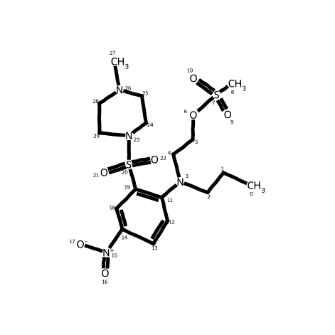 CCCN(CCOS(C)(=O)=O)c1ccc([N+](=O)[O-])cc1S(=O)(=O)N1CCN(C)CC1